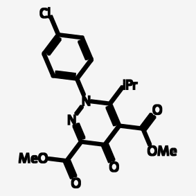 COC(=O)c1nn(-c2ccc(Cl)cc2)c(C(C)C)c(C(=O)OC)c1=O